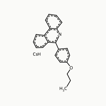 CCCOc1ccc(-c2nc3ccccc3c3ccccc23)cc1.[CsH]